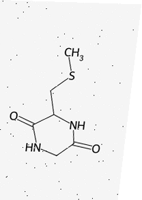 CSCC1NC(=O)CNC1=O